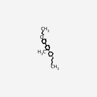 CCCCC[C@H]1CC[C@H](c2ccc(-c3ccc(OCCCC)cc3)cc2C)CC1